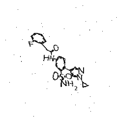 NS(=O)(=O)c1cc(NC(=O)Cc2ccccc2F)ccc1-c1cnn(C2CC2)c1